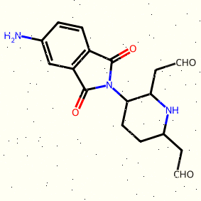 Nc1ccc2c(c1)C(=O)N(C1CCC(CC=O)NC1CC=O)C2=O